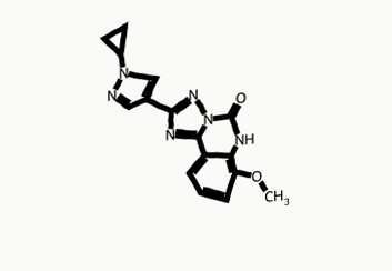 COc1cccc2c1[nH]c(=O)n1nc(-c3cnn(C4CC4)c3)nc21